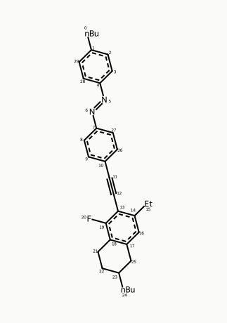 CCCCc1ccc(N=Nc2ccc(C#Cc3c(CC)cc4c(c3F)CCC(CCCC)C4)cc2)cc1